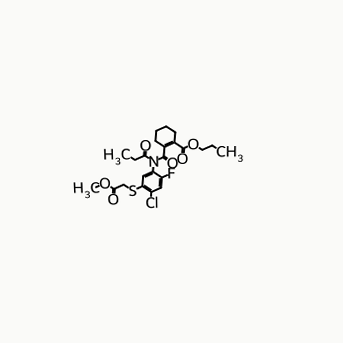 CCCOC(=O)C1=C(C(=O)N(C(=O)CC)c2cc(SCC(=O)OC)c(Cl)cc2F)CCCC1